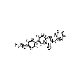 O=c1n(Cc2ncccn2)nc2ccc(-c3ccc(OC(F)(F)F)cc3)cn12